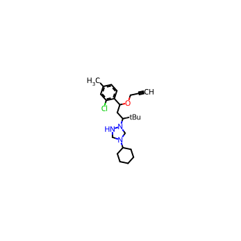 C#CCOC(CC(N1CN(C2CCCCC2)CN1)C(C)(C)C)c1ccc(C)cc1Cl